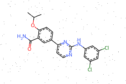 CC(C)Oc1ccc(-c2ccnc(Nc3cc(Cl)cc(Cl)c3)n2)cc1C(N)=O